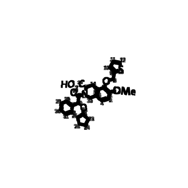 COc1ccc2c(c1OCc1cccs1)C[C@@H](C(=O)O)N(C(=O)[C@@H](OC1CCCC1)c1ccccc1)C2